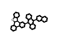 c1ccc2c(c1)OC1c3ccccc3-c3ccc(-c4c5ccccc5c(-c5ccc6ccccc6c5)c5ccccc45)cc3C21